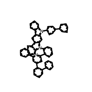 c1ccc(-c2ccc(-n3c4ccccc4c4cc5c6ccccc6n(-c6ccccc6-c6cc(-c7ccccc7-c7ccccc7)cc(-c7ccccc7)n6)c5cc43)cc2)cc1